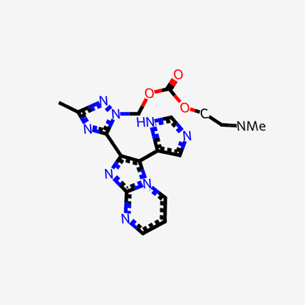 CNCCOC(=O)OCn1nc(C)nc1-c1nc2ncccn2c1-c1cnc[nH]1